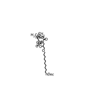 CCCCCCCCCCCCCCCCCCCCOCC(CNC(=O)OC)OP(=O)([O-])OCC[N+](C)(C)C